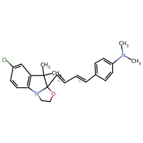 CN(C)c1ccc(/C=C/C=C/C23OCCN2c2ccc(Cl)cc2C3(C)C)cc1